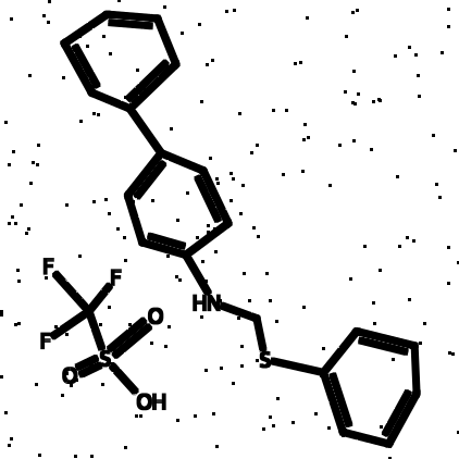 O=S(=O)(O)C(F)(F)F.c1ccc(SCNc2ccc(-c3ccccc3)cc2)cc1